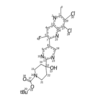 Cc1nc2cc(F)c(-c3cnc(C4(O)CCN(C(=O)OC(C)(C)C)CC4)nc3)nc2c(Cl)c1Cl